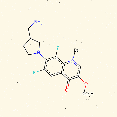 CCn1cc(OC(=O)O)c(=O)c2cc(F)c(N3CCC(CN)C3)c(F)c21